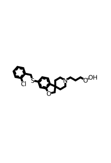 OOCCCN1CCC2(CC1)COc1cc(SCc3ccccc3Cl)ccc12